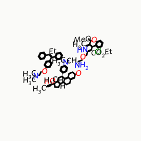 CC#C[C@]1(O)CC[C@H]2[C@@H]3CCC4=CC(=O)CCC4=C3[C@@H](c3ccc(N(C)C)cc3)C[C@@]21C.CC/C(=C(\c1ccccc1)c1ccc(OCCN(C)C)cc1)c1ccccc1.CCOC(=O)C1=C(COCCN)NC(C)=C(C(=O)OC)C1c1ccccc1Cl